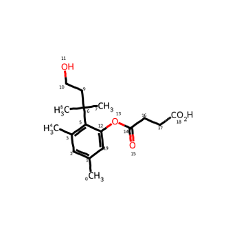 Cc1cc(C)c(C(C)(C)CCO)c(OC(=O)CCC(=O)O)c1